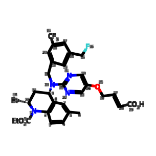 CCOC(=O)N1c2ccc(C)cc2[C@@H](N(Cc2cc(CF)cc(C(F)(F)F)c2)c2ncc(OC/C=C/C(=O)O)cn2)C[C@H]1CC